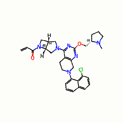 C=CC(=O)N1C[C@@H]2CN(c3nc(OC[C@@H]4CCCN4C)nc4c3CCN(c3cccc5cccc(Cl)c35)C4)C[C@@H]21